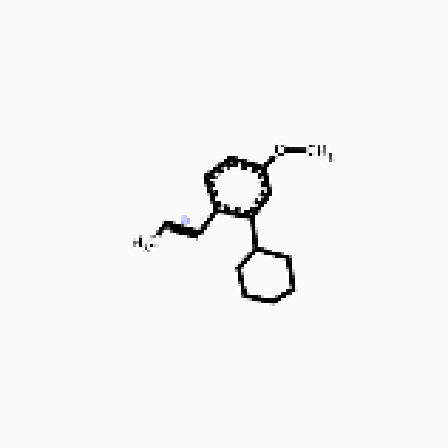 C/C=C/c1ccc(OC)cc1C1CCCCC1